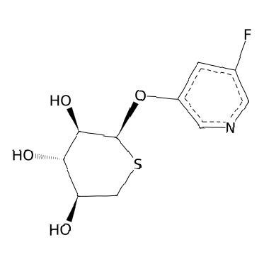 O[C@@H]1[C@@H](O)[C@@H](Oc2cncc(F)c2)SC[C@H]1O